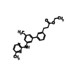 CCOC(=O)CCc1cccc(-c2cc(C)cc(Nc3nccc(C)n3)c2)c1